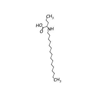 CCCCCCCCCCCCCCCCNC(CCC)C(=O)O